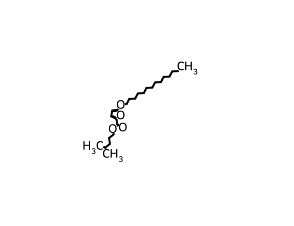 CCCCCCCCCCCCCCOc1ccc(C(=O)OCCCC(C)C)o1